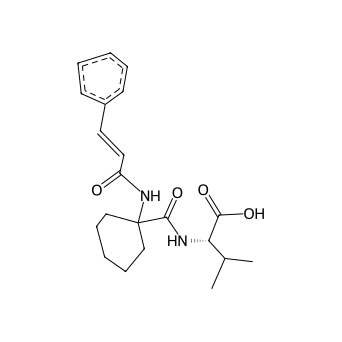 CC(C)[C@H](NC(=O)C1(NC(=O)C=Cc2ccccc2)CCCCC1)C(=O)O